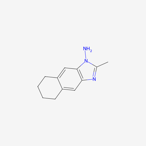 Cc1nc2cc3c(cc2n1N)CCCC3